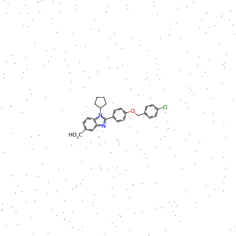 O=C(O)c1ccc2c(c1)nc(-c1ccc(OCc3ccc(Cl)cc3)cc1)n2C1CCCC1